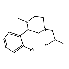 CC(C)c1ccccc1C1CN(CC(F)F)CCN1C